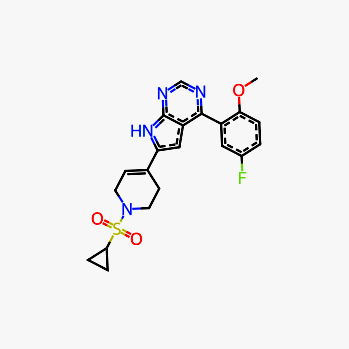 COc1ccc(F)cc1-c1ncnc2[nH]c(C3=CCN(S(=O)(=O)C4CC4)CC3)cc12